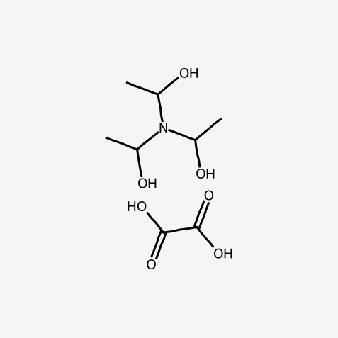 CC(O)N(C(C)O)C(C)O.O=C(O)C(=O)O